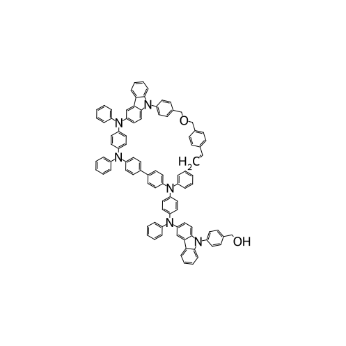 C=Cc1ccc(COCc2ccc(-n3c4ccccc4c4cc(N(c5ccccc5)c5ccc(N(c6ccccc6)c6ccc(-c7ccc(N(c8ccccc8)c8ccc(N(c9ccccc9)c9ccc%10c(c9)c9ccccc9n%10-c9ccc(CO)cc9)cc8)cc7)cc6)cc5)ccc43)cc2)cc1